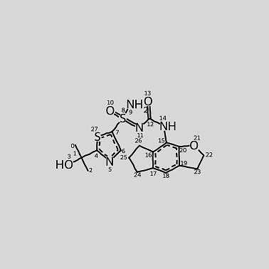 CC(C)(O)c1ncc(S(N)(=O)=NC(=O)Nc2c3c(cc4c2OCC4)CCC3)s1